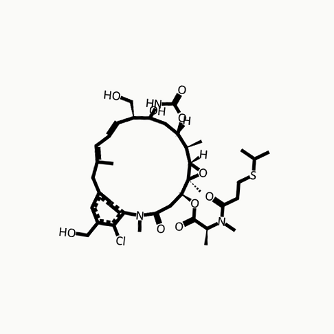 C/C1=C\C=C\[C@@H](CO)[C@@]2(O)C[C@H](OC(=O)N2)[C@@H](C)[C@@H]2O[C@@]2(C)[C@@H](OC(=O)[C@H](C)N(C)C(=O)CCSC(C)C)CC(=O)N(C)c2cc(cc(CO)c2Cl)C1